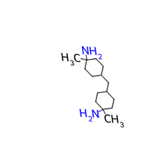 CC1(N)CCC(CC2CCC(C)(N)CC2)CC1